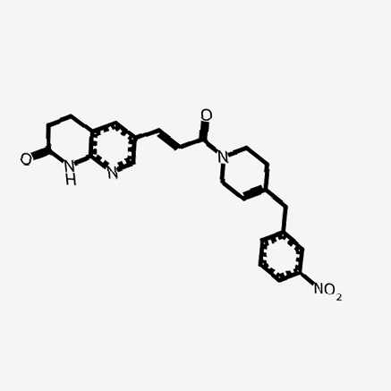 O=C1CCc2cc(C=CC(=O)N3CC=C(Cc4cccc([N+](=O)[O-])c4)CC3)cnc2N1